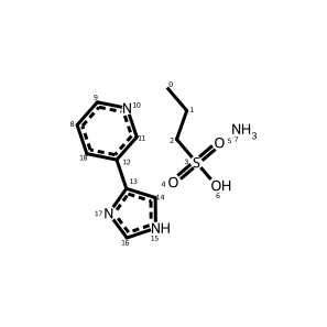 CCCS(=O)(=O)O.N.c1cncc(-c2c[nH]cn2)c1